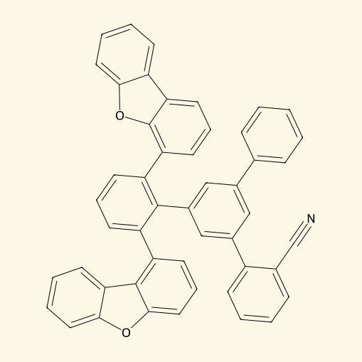 N#Cc1ccccc1-c1cc(-c2ccccc2)cc(-c2c(-c3cccc4c3oc3ccccc34)cccc2-c2cccc3oc4ccccc4c23)c1